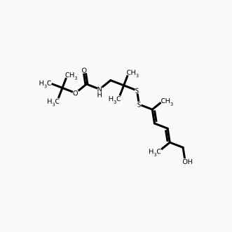 C/C(=C\C=C(/C)SSC(C)(C)CNC(=O)OC(C)(C)C)CO